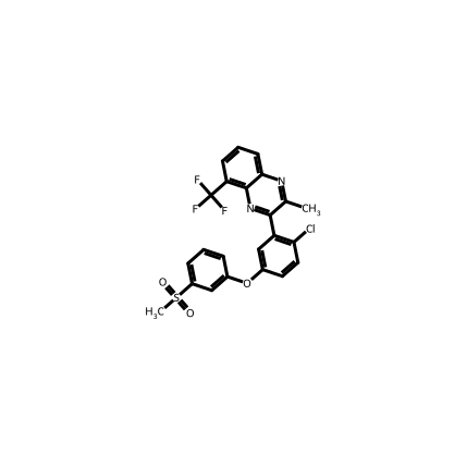 Cc1nc2cccc(C(F)(F)F)c2nc1-c1cc(Oc2cccc(S(C)(=O)=O)c2)ccc1Cl